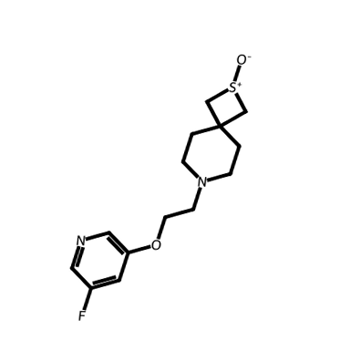 [O-][S+]1CC2(CCN(CCOc3cncc(F)c3)CC2)C1